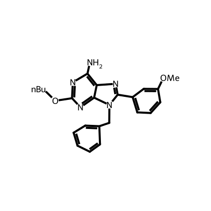 CCCCOc1nc(N)c2nc(-c3cccc(OC)c3)n(Cc3ccccc3)c2n1